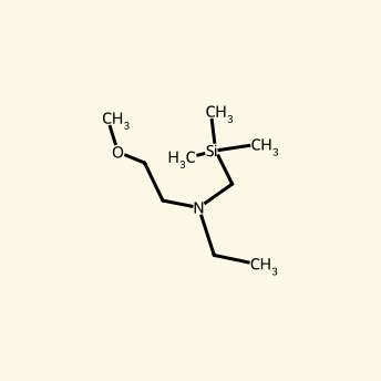 CCN(CCOC)C[Si](C)(C)C